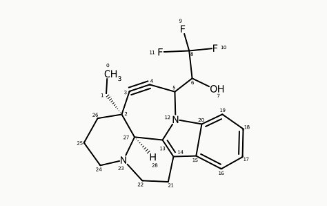 CC[C@@]12C#CC(C(O)C(F)(F)F)n3c4c(c5ccccc53)CCN(CCC1)[C@H]42